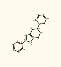 c1ccc(-c2nc3c(o2)CCC(c2ccccn2)C3)cc1